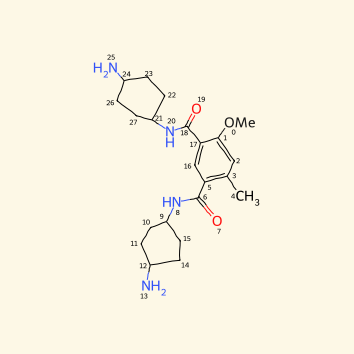 COc1cc(C)c(C(=O)NC2CCC(N)CC2)cc1C(=O)NC1CCC(N)CC1